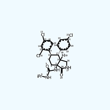 CC(C)NC(=O)N[C@@]12CC[C@@H](c3ccc(Cl)cc3Cl)[C@H](c3ccc(Cl)cc3)[C@@H]1CNC2=O